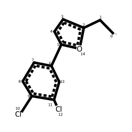 [CH2]Cc1ccc(-c2ccc(Cl)c(Cl)c2)o1